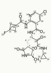 C[C@@H]1C[C@@H](C[C@H](NC(=O)c2cc(Cl)cnc2NC(=O)C23CC(F)(C2)C3)C(=O)C(=O)NC2CC2)C(=O)N1